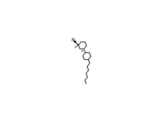 CCCCCCCC1CCC([C@@H]2CCC[C@@](C)(C#N)C2)CC1